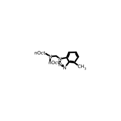 CCCCCCCCN(CCCCCCCC)Cn1nnc2c(C)cccc21